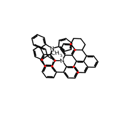 CC12C=CC=CC1c1cccc(-c3ccccc3N(c3ccccc3-c3cccc4cccc(C5CCCCC5)c34)c3cccc4c5ccccc5n(-c5ccccc5)c34)c1S2